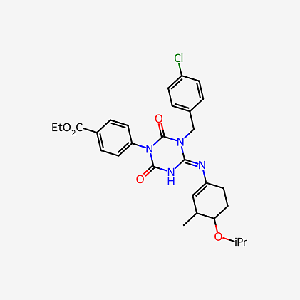 CCOC(=O)c1ccc(-n2c(=O)[nH]/c(=N\C3=CC(C)C(OC(C)C)CC3)n(Cc3ccc(Cl)cc3)c2=O)cc1